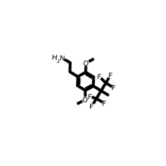 COc1cc(C(C)(C(F)(F)F)C(F)(F)F)c(OC)cc1CCN